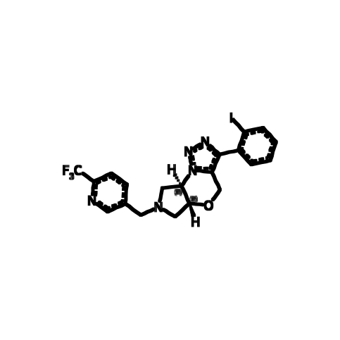 FC(F)(F)c1ccc(CN2C[C@@H]3[C@@H](C2)OCc2c(-c4ccccc4I)nnn23)cn1